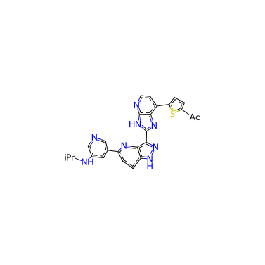 CC(=O)c1ccc(-c2ccnc3[nH]c(-c4n[nH]c5ccc(-c6cncc(NC(C)C)c6)nc45)nc23)s1